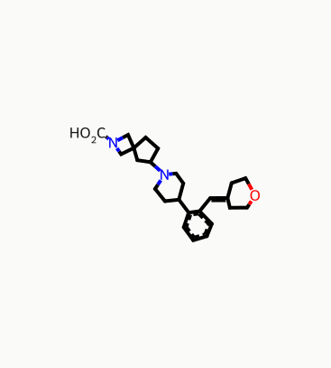 O=C(O)N1CC2(CCC(N3CCC(c4ccccc4C=C4CCOCC4)CC3)C2)C1